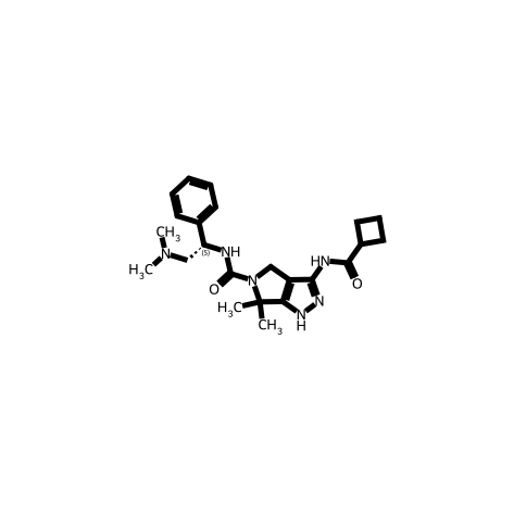 CN(C)C[C@@H](NC(=O)N1Cc2c(NC(=O)C3CCC3)n[nH]c2C1(C)C)c1ccccc1